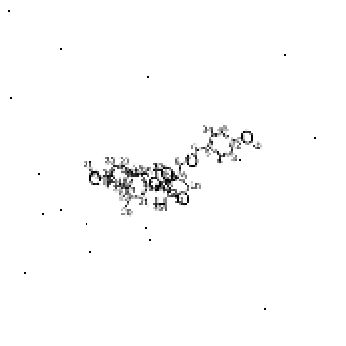 COc1ccc(COCC23CO[C@@H]([C@H](c4ccc(F)c(C)c4)O2)[C@@H]3OCc2ccc(OC)cc2)cc1